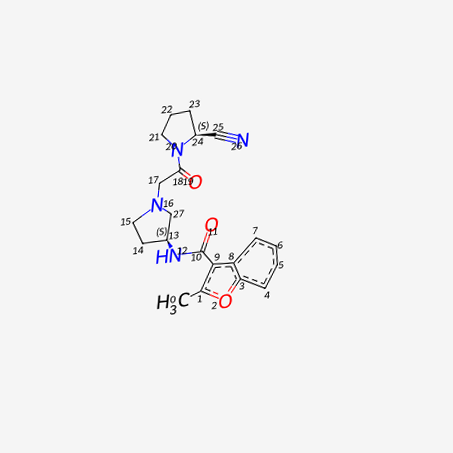 Cc1oc2ccccc2c1C(=O)N[C@H]1CCN(CC(=O)N2CCC[C@H]2C#N)C1